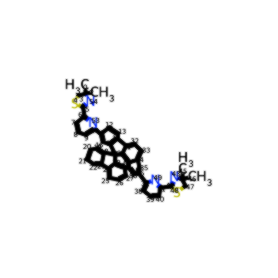 CC1(C)CSC(c2cccc(-c3ccc4c(c3)C3(c5ccccc5-c5ccccc53)c3c-4ccc4cc(-c5cccc(C6=NC(C)(C)CS6)n5)ccc34)n2)=N1